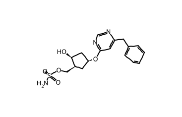 NS(=O)(=O)OC[C@@H]1C[C@@H](Oc2cc(Cc3ccccc3)ncn2)C[C@@H]1O